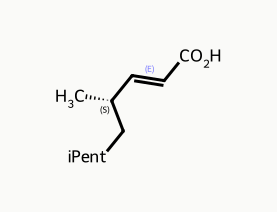 CCCC(C)C[C@H](C)/C=C/C(=O)O